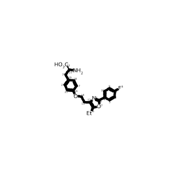 CCc1oc(-c2ccc(F)cc2)nc1CCOc1ccc(C[C@H](N)C(=O)O)cc1